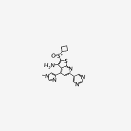 Cn1cnc(-c2cc(-c3cncnc3)nc3sc([S@@+]([O-])C4CCC4)c(N)c23)c1